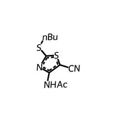 CCCCSc1nc(NC(C)=O)c(C#N)s1